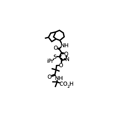 CC1CC2CCCC(NC(=O)c3onc(OCC(C)(C)C(=O)NC(C)(C)C(=O)O)c3SC(C)C)C(C1)C2